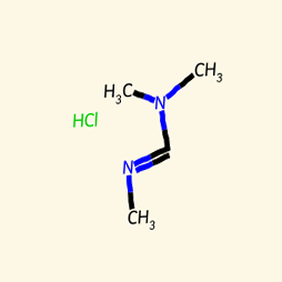 C/N=C/N(C)C.Cl